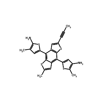 CC#Cc1cc2c(-c3cc(C)c(N)s3)c3sc(C)cc3c(-c3cc(N)c(C)s3)c2s1